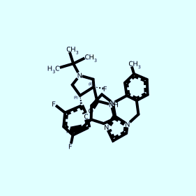 Cc1ccc(Cn2ccnc2NC(=O)[C@]2(F)CN(C(C)(C)C)C[C@H]2c2ccc(F)cc2F)c(N2CCC(C#N)CC2)c1